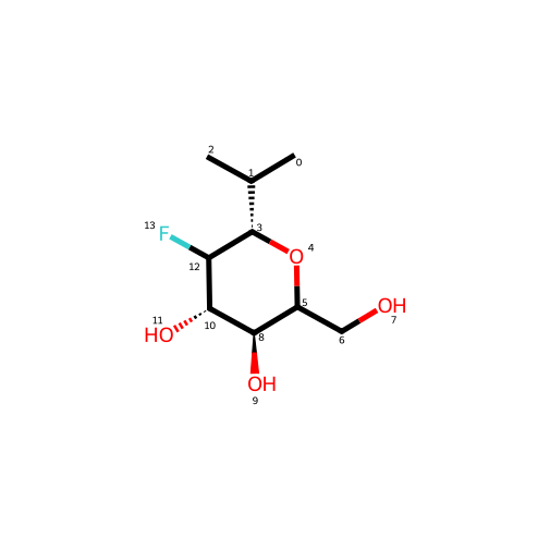 CC(C)[C@@H]1OC(CO)[C@@H](O)[C@H](O)C1F